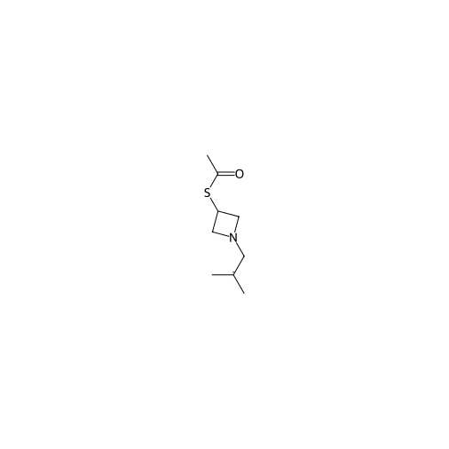 C[C](C)CN1CC(SC(C)=O)C1